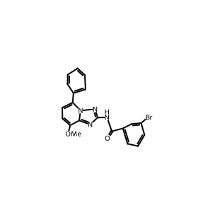 COc1ccc(-c2ccccc2)n2nc(NC(=O)c3cccc(Br)c3)nc12